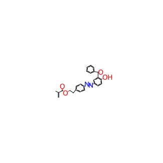 C=C(C)C(=O)OCCc1ccc(/N=N/c2ccc(O)c(C(=O)c3ccccc3)c2)cc1